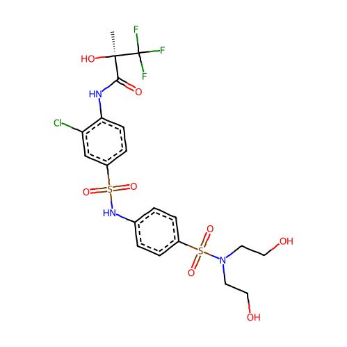 C[C@@](O)(C(=O)Nc1ccc(S(=O)(=O)Nc2ccc(S(=O)(=O)N(CCO)CCO)cc2)cc1Cl)C(F)(F)F